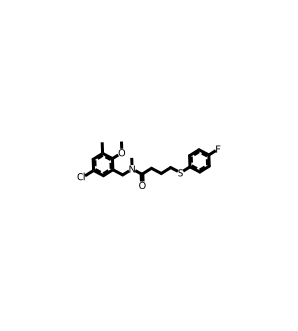 COc1c(C)cc(Cl)cc1CN(C)C(=O)CCCSc1ccc(F)cc1